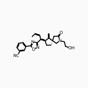 C=C1/C(=C(\C=C/C)c2noc(-c3cccc(C#N)c3)n2)CC[C@@]12CC(=O)N(CCO)C2